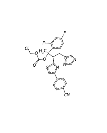 C[C@](OC(=O)OCCl)(c1ccc(F)cc1F)C(Cn1cncn1)c1nc(-c2ccc(C#N)cc2)cs1